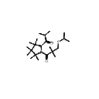 CC(C)SCC(C)(C)C(=O)N1[C@H](C(=O)C(C)C)C(C)(C)C(C)(C)C1(C)C